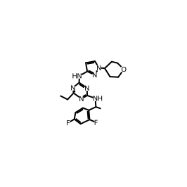 CCc1nc(Nc2ccn(C3CCOCC3)n2)nc(NC(C)c2ccc(F)cc2F)n1